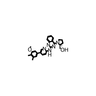 COc1cc(-c2ccc(Nc3nc(N4CCC[C@H]4CO)c4ccccc4n3)nc2)cc(C)c1C